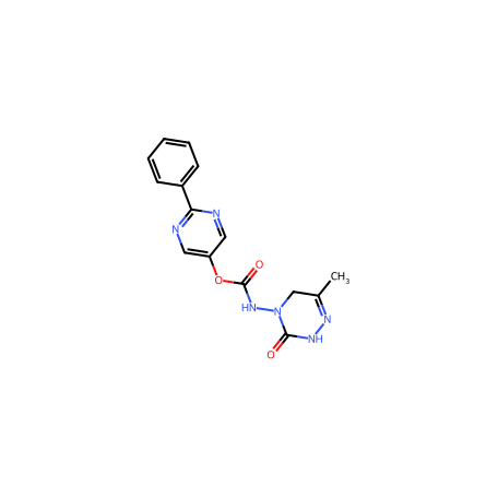 CC1=NNC(=O)N(NC(=O)Oc2cnc(-c3ccccc3)nc2)C1